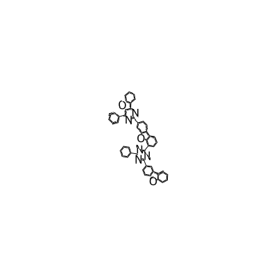 c1ccc(-c2nc(-c3ccc4oc5ccccc5c4c3)nc(-c3cccc4c3oc3cc(-c5nc(-c6ccccc6)c6oc7ccccc7c6n5)ccc34)n2)cc1